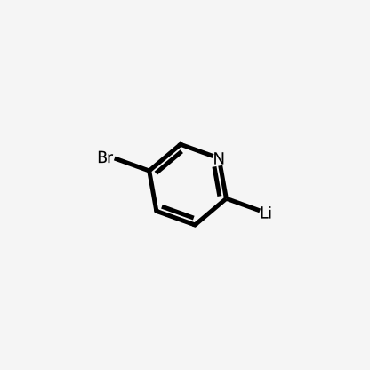 [Li][c]1ccc(Br)cn1